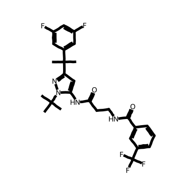 CC(C)(c1cc(F)cc(F)c1)c1cc(NC(=O)CCNC(=O)c2cccc(C(F)(F)F)c2)n(C(C)(C)C)n1